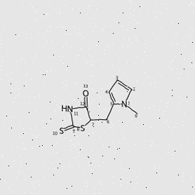 Cn1cccc1CC1SC(=S)NC1=O